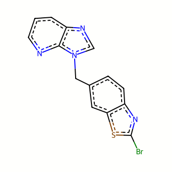 Brc1nc2ccc(Cn3cnc4cccnc43)cc2s1